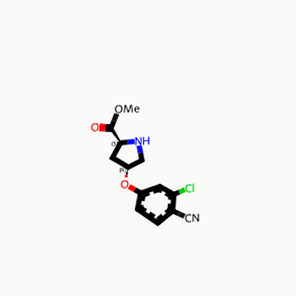 COC(=O)[C@@H]1C[C@@H](Oc2ccc(C#N)c(Cl)c2)CN1